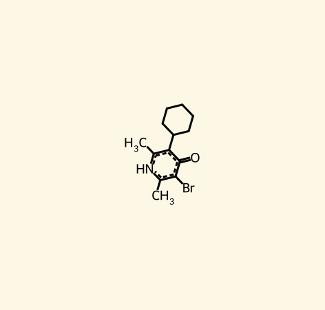 Cc1[nH]c(C)c(C2CCCCC2)c(=O)c1Br